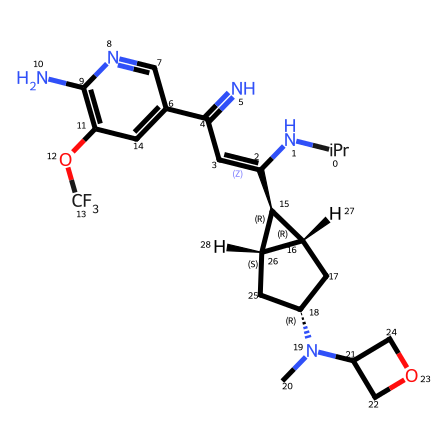 CC(C)N/C(=C\C(=N)c1cnc(N)c(OC(F)(F)F)c1)[C@H]1[C@@H]2C[C@H](N(C)C3COC3)C[C@@H]21